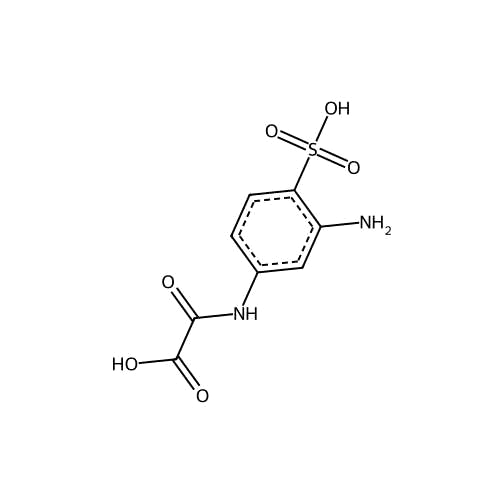 Nc1cc(NC(=O)C(=O)O)ccc1S(=O)(=O)O